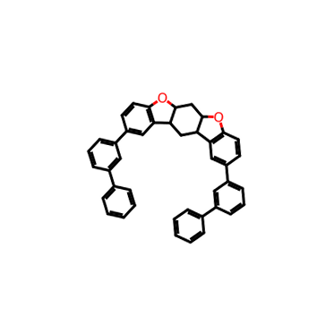 c1ccc(-c2cccc(-c3ccc4c(c3)C3CC5c6cc(-c7cccc(-c8ccccc8)c7)ccc6OC5CC3O4)c2)cc1